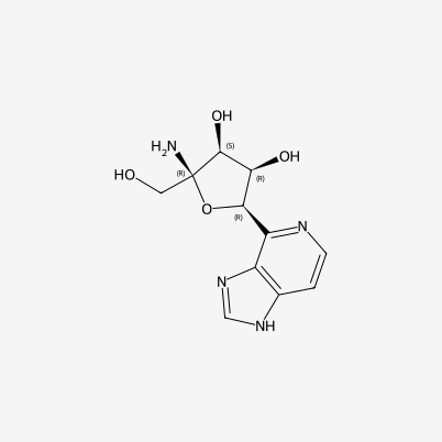 N[C@]1(CO)O[C@H](c2nccc3[nH]cnc23)[C@H](O)[C@@H]1O